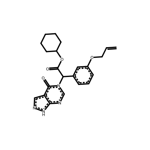 C=CCOc1cccc(C(C(=O)OC2CCCCC2)n2cnc3[nH]ncc3c2=O)c1